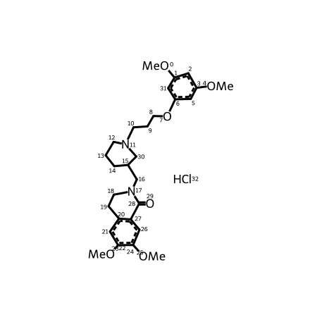 COc1cc(OC)cc(OCCCN2CCCC(CN3CCc4cc(OC)c(OC)cc4C3=O)C2)c1.Cl